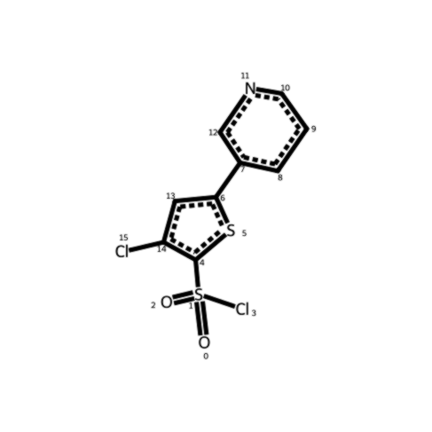 O=S(=O)(Cl)c1sc(-c2cccnc2)cc1Cl